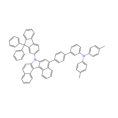 Cc1ccc(N(c2ccc(C)cc2)c2cccc(-c3ccc(-c4cc5c(c6ccccc46)c4c6ccccc6ccc4n5-c4ccc5c(c4)C(c4ccccc4)(c4ccccc4)c4ccccc4-5)cc3)c2)cc1